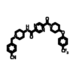 N#Cc1ccc(CN2CCC(NC(=O)c3cnc(C(=O)N4CCC(Oc5ccc(C(F)(F)F)cc5)CC4)cn3)CC2)cc1